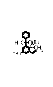 C/C=C\c1cc(C(C)(C)C)cc(C(C)(C)c2ccccc2)c1OC(C)(C)C